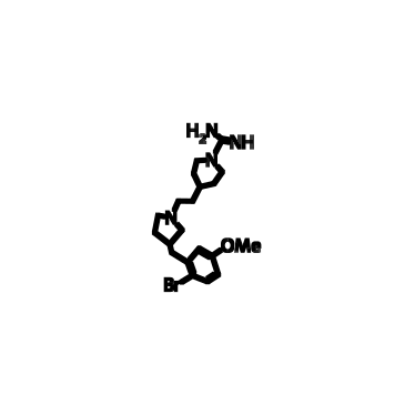 COc1ccc(Br)c(CC2CCN(CCC3CCN(C(=N)N)CC3)C2)c1